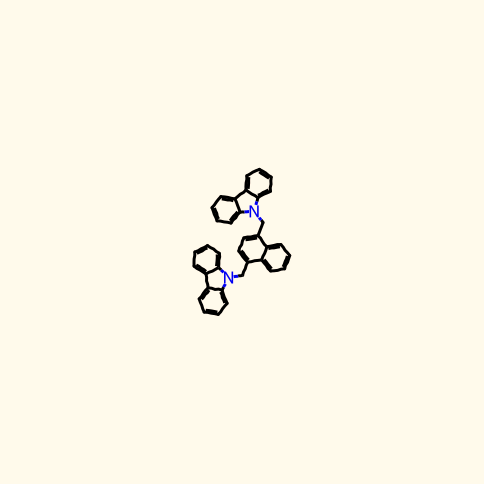 c1ccc2c(Cn3c4ccccc4c4ccccc43)ccc(Cn3c4ccccc4c4ccccc43)c2c1